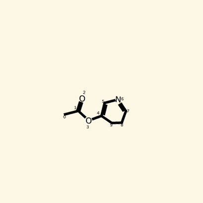 CC(=O)OC1=CN=CCC1